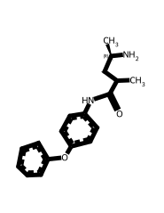 CC([CH][C@@H](C)N)C(=O)Nc1ccc(Oc2ccccc2)cc1